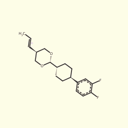 C/C=C/[C@H]1CO[C@H]([C@H]2CC[C@H](c3ccc(F)c(F)c3)CC2)OC1